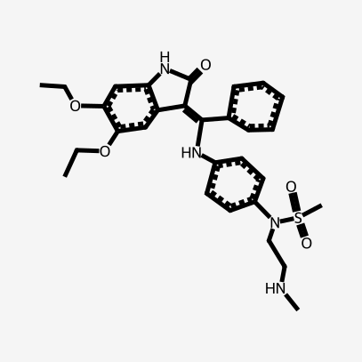 CCOc1cc2c(cc1OCC)C(=C(Nc1ccc(N(CCNC)S(C)(=O)=O)cc1)c1ccccc1)C(=O)N2